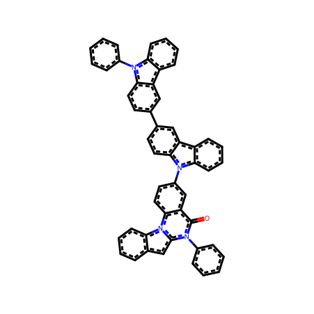 O=c1c2cc(-n3c4ccccc4c4cc(-c5ccc6c(c5)c5ccccc5n6-c5ccccc5)ccc43)ccc2n2c3ccccc3cc2n1-c1ccccc1